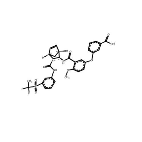 COc1ccc(Oc2cccc(C(=O)O)c2)cc1C(=O)N[C@H]1[C@@H](C(=O)Nc2cccc(S(=O)(=O)C(C)(F)F)c2)[C@@H]2C=C[C@H]1C2